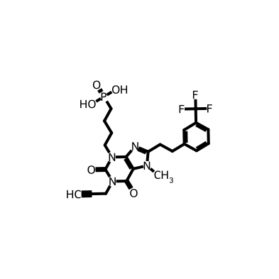 C#CCn1c(=O)c2c(nc(CCc3cccc(C(F)(F)F)c3)n2C)n(CCCCP(=O)(O)O)c1=O